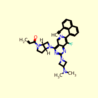 C#Cc1cccc2cccc(-c3ncc4c(N5C[C@@H]6[C@H]5CCN6C(=O)C=C)nc(N5CC(N(C)C)C5)nc4c3F)c12